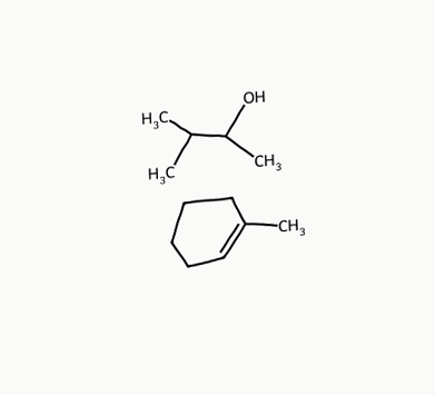 CC(C)C(C)O.CC1=CCCCC1